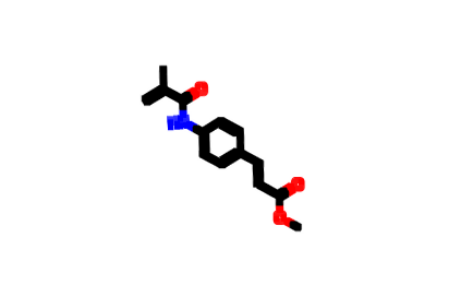 C=C(C)C(=O)Nc1ccc(/C=C/C(=O)OC)cc1